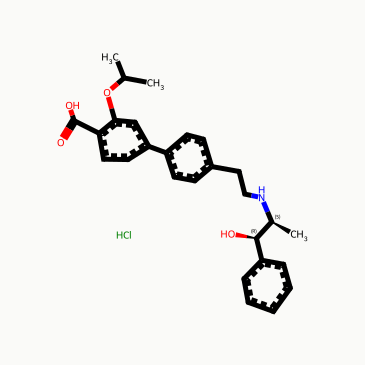 CC(C)Oc1cc(-c2ccc(CCN[C@@H](C)[C@H](O)c3ccccc3)cc2)ccc1C(=O)O.Cl